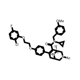 COc1cccc(CN(C(=O)C2=C(c3ccc(OCCOc4cc(F)ccc4Cl)cc3)CC3CN(C(C)=O)C[C@H]2N3)C2CC2)c1